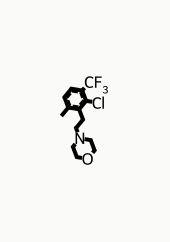 Cc1ccc(C(F)(F)F)c(Cl)c1CCN1CCOCC1